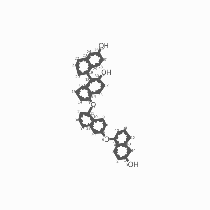 Oc1ccc2c(Oc3ccc4c(Oc5cccc6c(-c7cccc8cc(O)ccc78)c(O)ccc56)cccc4c3)cccc2c1